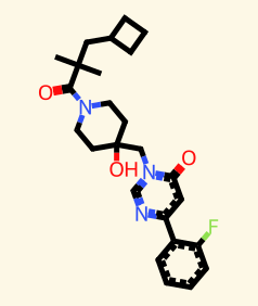 CC(C)(CC1CCC1)C(=O)N1CCC(O)(Cn2cnc(-c3ccccc3F)cc2=O)CC1